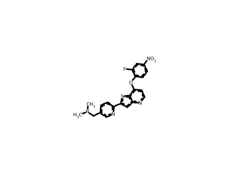 CN(C)Cc1ccc(-c2cc3nccc(Oc4ccc([N+](=O)[O-])cc4F)c3s2)nc1